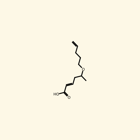 C=CCCCOC(C)CC=CC(=O)O